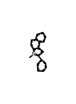 Cn1c(-c2ccccc2)cc2c3ccccc3ccc21